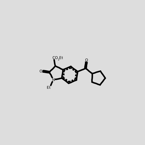 CCOC(=O)C1C(=O)N(CC)c2ccc(C(=O)C3CCCC3)cc21